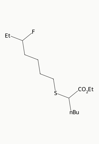 CCCCC(SCCCCC(F)CC)C(=O)OCC